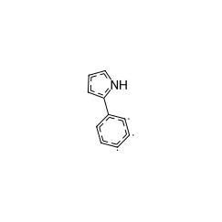 [c]1[c]ccc(-c2ccc[nH]2)[c]1